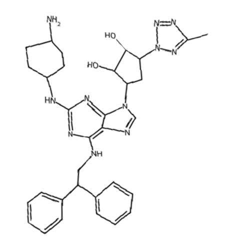 Cc1nnn(C2CC(n3cnc4c(NCC(c5ccccc5)c5ccccc5)nc(NC5CCC(N)CC5)nc43)C(O)C2O)n1